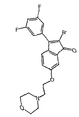 O=C1C(Br)=C(c2cc(F)cc(F)c2)c2ccc(OCCN3CCOCC3)cc21